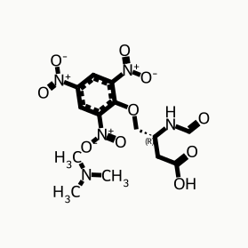 CN(C)C.O=CN[C@@H](COc1c([N+](=O)[O-])cc([N+](=O)[O-])cc1[N+](=O)[O-])CC(=O)O